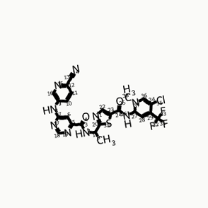 CC(NC(=O)c1cc(Nc2ccc(C#N)nc2)ncn1)c1ncc(C(=O)NC2C=C(C(F)(F)F)C(Cl)=CN2C)s1